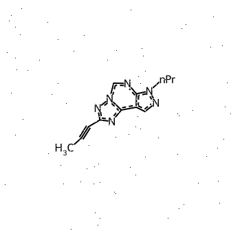 CC#Cc1nc2c3cnn(CCC)c3ncn2n1